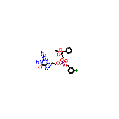 C=C1OC(COP(=O)(COCCn2cnc3c(=O)[nH]c(N)nc32)OCc2cccc(F)c2)=C(c2ccccc2)O1